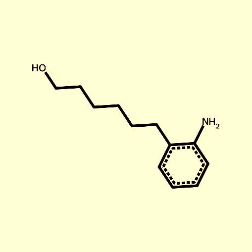 Nc1ccccc1CCCCCCO